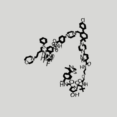 Cc1ncsc1-c1ccc([C@H](C)NC(=O)[C@@H]2C[C@@H](O)CN2C(=O)C(NC(=O)COCCCNC(=O)c2ccc(N3CCN(CC4(C)CCC(c5ccc(Cl)cc5)=C(CN5CCN(c6ccc(C(=O)NS(=O)(=O)c7ccc(NC(CCN8CCCOCC8)CSc8ccccc8)c(S(=O)(=O)C(F)(F)F)c7)cc6)CC5)C4)CC3)nn2)C(C)(C)C)cc1